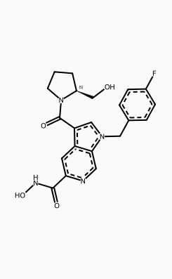 O=C(NO)c1cc2c(C(=O)N3CCC[C@H]3CO)cn(Cc3ccc(F)cc3)c2cn1